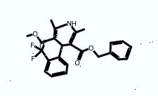 COC(=O)C1=C(C)NC(C)=C(C(=O)OCc2ccccc2)C1c1ccccc1C(F)(F)F